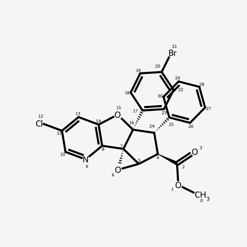 COC(=O)[C@H]1C2O[C@@]23c2ncc(Cl)cc2O[C@@]3(c2ccc(Br)cc2)[C@@H]1c1ccccc1